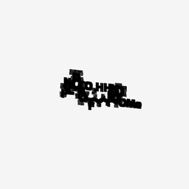 COc1cc(CCCCC(F)[C@@H]2CCN(C(C(=O)O)c3cc(F)cnc3C3CCC3)C2)nc2c1CCCN2